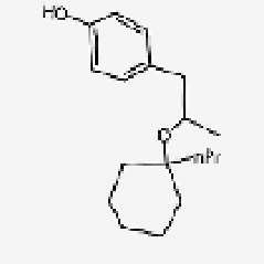 CCCC1(OC(C)Cc2ccc(O)cc2)CCCCC1